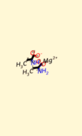 CCC(N)C(=O)[O-].CCC(N)C(=O)[O-].[Mg+2]